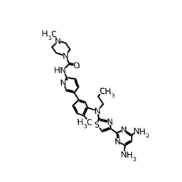 CCCN(c1nc(-c2nc(N)cc(N)n2)cs1)c1cc(-c2ccc(NC(=O)N3CCN(C)CC3)nc2)ccc1C